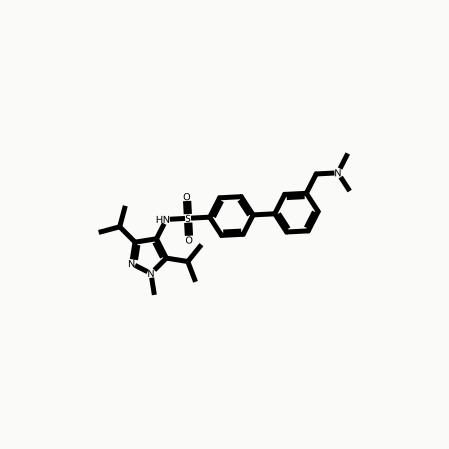 CC(C)c1nn(C)c(C(C)C)c1NS(=O)(=O)c1ccc(-c2cccc(CN(C)C)c2)cc1